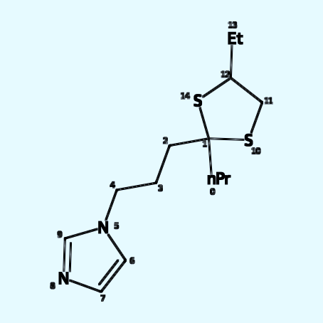 CCCC1(CCCn2ccnc2)SCC(CC)S1